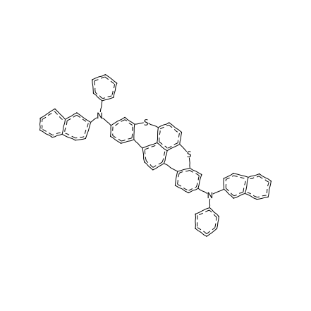 c1ccc(N(c2ccc3c(c2)Sc2ccc4c5c(ccc-3c25)-c2ccc(N(c3ccccc3)c3ccc5ccccc5c3)cc2S4)c2ccc3ccccc3c2)cc1